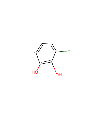 Oc1[c]ccc(F)c1O